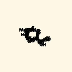 CCC1/C=C(\C)C(F)C(C)CC(OC)C2OC(O)(C(=O)C(=O)N3CCCCC3C(=O)OC(C(C)=CC3CCC(O)C(OCC=Cc4ccccc4)C3)C(C)CCC1=O)C(C)CC2OC